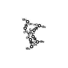 CC(C)(C)c1ccc(O)c(-n2n3c4ccc(C(=O)OCC(COC(=O)c5ccc6c(c5)n5n(-c7cc(C(C)(C)C)ccc7O)n65)(COC(=O)c5ccc6c(c5)n5n(-c7cc(C(C)(C)C)ccc7O)n65)COC(=O)c5ccc6c(c5)n5n(-c7cc(C(C)(C)C)ccc7O)n65)cc4n23)c1